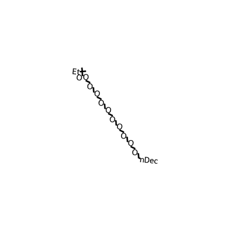 CCCCCCCCCCCCOCCOCCOCCOCCOCCOCCOCCOCCOCCOC(=O)C(C)(C)CC